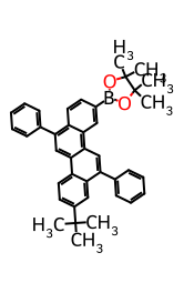 CC(C)(C)c1ccc2c(c1)c(-c1ccccc1)cc1c3cc(B4OC(C)(C)C(C)(C)O4)ccc3c(-c3ccccc3)cc21